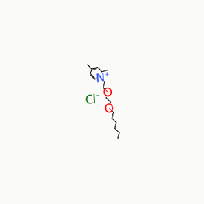 CCCCCCOCCOCC[n+]1ccc(C)cc1C.[Cl-]